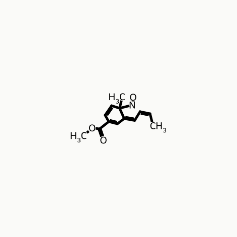 C/C=C\C=C1\C=C(C(=O)OC)C=CC1(C)N=O